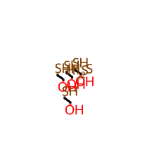 OCCS.OCCS.OCCS.OCCS.S.S